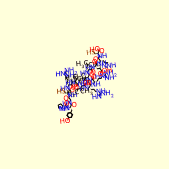 CC[C@H](C)[C@H](NC(=O)[C@H](CCCNC(=N)N)NC(=O)[C@H](CCCNC(=N)N)NC(=O)[C@@H](NC(=O)[C@@H](NC(=O)[C@H](CCCNC(=N)N)NC(=O)[C@H](CS)NC(=O)CNC(=O)[C@H](Cc1ccc(O)cc1)NC(=O)[C@@H]1CCCN1)C(C)C)[C@@H](C)CC)C(=O)N[C@@H](CC(C)C)C(=O)N[C@@H](CCC(=O)O)C(=O)N[C@@H](Cc1c[nH]cn1)C(=O)N[C@@H](CS)C(=O)O